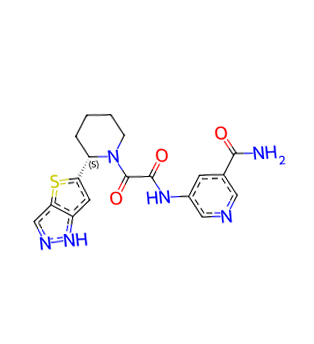 NC(=O)c1cncc(NC(=O)C(=O)N2CCCC[C@H]2c2cc3[nH]ncc3s2)c1